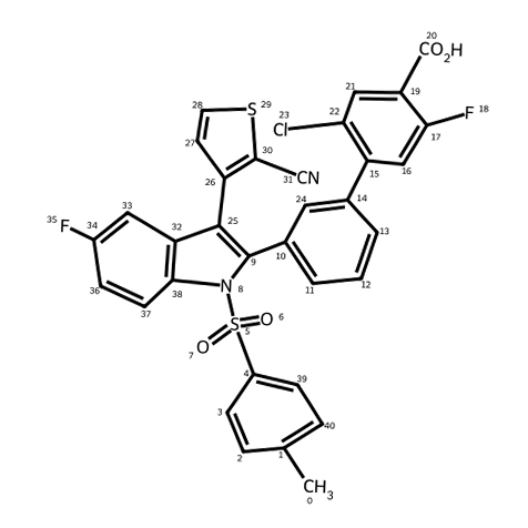 Cc1ccc(S(=O)(=O)n2c(-c3cccc(-c4cc(F)c(C(=O)O)cc4Cl)c3)c(-c3ccsc3C#N)c3cc(F)ccc32)cc1